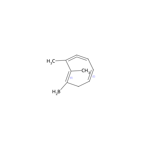 B/C1=C(/C)C(C)=C=C/C=C\C1